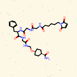 NC(=O)[C@H]1CC[C@@H](OCNC(=O)CNC(=O)C(Cc2ccccc2)NC(=O)CNC(=O)CNC(=O)CCCCCN2C(=O)C=CC2=O)CC1